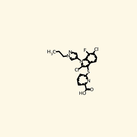 CCCn1cc(-n2c(Cl)c(Sc3cccc(C(=O)O)n3)c3ccc(Cl)c(F)c32)cn1